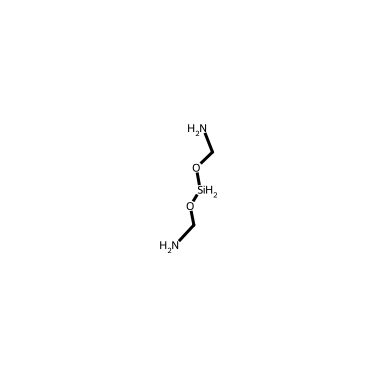 NCO[SiH2]OCN